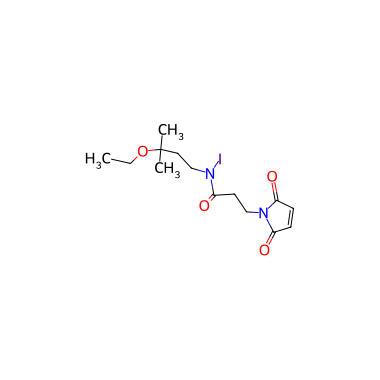 CCOC(C)(C)CCN(I)C(=O)CCN1C(=O)C=CC1=O